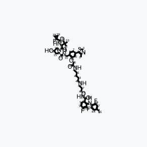 Cc1ncsc1-c1ccc(CNC(=O)[C@@H]2C[C@@H](O)CN2C(=O)[C@@H](NC(=O)C2(F)CC2)C(C)(C)C)c(OCC(=O)NCCCCCNCCCONC(=O)c2ccc(F)c(F)c2Nc2ccc(I)cc2F)c1